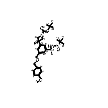 COc1ccc(COCc2cc([C@@H](C)N[S+]([O-])C(C)(C)C)cc(C3(F)CN(C(=O)OC(C)(C)C)C3)c2)cc1